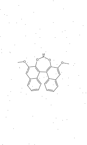 COc1cc2ccccc2c2c1o[pH]oc1c(OC)cc3ccccc3c12